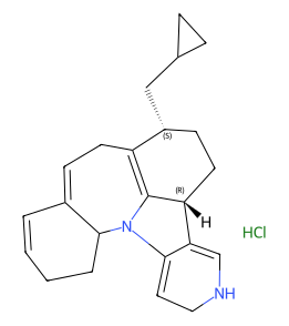 C1=CC2=CCC3=C4[C@H](CC[C@H]3CC3CC3)C3=CNCC=C3N4C2CC1.Cl